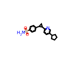 NS(=O)(=O)c1ccc(C2CC2c2ccc(C3CCCC3)cn2)cc1